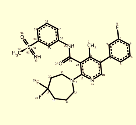 Cc1c(-c2cccc(F)c2)cnc(N2CCCC(F)(F)CC2)c1C(=O)Nc1cccc([S@](C)(=N)=O)c1